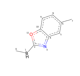 CBc1nc2cc(C)ccc2o1